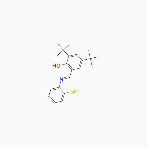 CC(C)(C)c1cc(/C=N/c2ccccc2S)c(O)c(C(C)(C)C)c1